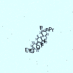 CCCc1ccc(-c2ccc(C3CCC(OCC)CO3)c(F)c2F)cc1F